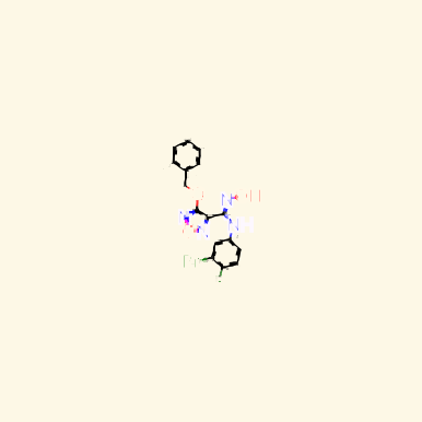 O/N=C(\Nc1ccc(F)c(Br)c1)c1nonc1OCc1ccccc1